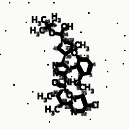 COc1cccc(OC)c1-n1c(NS(=O)(=O)[C@@H](C)[C@H](C)c2ncc(Cl)cn2)nnc1[C@@H]1CCN(C(O)OC(C)(C)C)C1